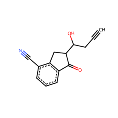 C#CCC(O)C1Cc2c(C#N)cccc2C1=O